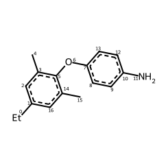 CCc1cc(C)c(Oc2ccc(N)cc2)c(C)c1